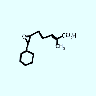 CC(=CCCC1OC1C1CCCCC1)C(=O)O